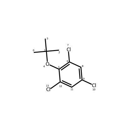 CC(C)(C)Oc1c(Cl)cc(Cl)cc1Cl